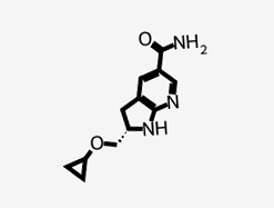 NC(=O)c1cnc2c(c1)C[C@@H](COC1CC1)N2